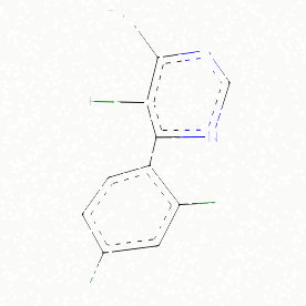 Fc1cc(Cl)ccc1-c1ncnc(C(F)(F)F)c1Cl